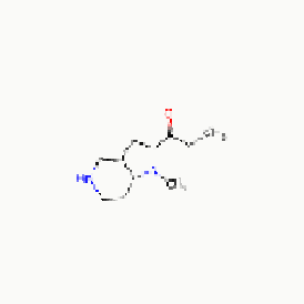 CCC(=O)C1CC2CNCCC2N1C